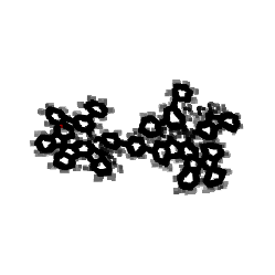 CC1(C)c2ccccc2-c2ccc(N(c3cc(-c4ccccc4)cc(-c4ccccc4)c3)c3cc4c(c5c3C(C)(C)c3cc(-c6ccc(-c7ccc(N(c8cc(-c9ccccc9)cc(-c9ccccc9)c8)c8cc9c(c%10c8C(C)(C)c8ccccc8-%10)-c8ccccc8C98c9ccccc9-c9ccccc98)cc7)cc6)ccc3-5)-c3ccccc3C43c4ccccc4-c4ccccc43)cc21